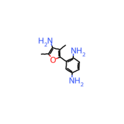 Cc1oc(-c2cc(N)ccc2N)c(C)c1N